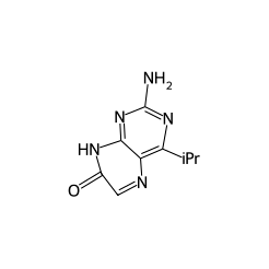 CC(C)c1nc(N)nc2[nH]c(=O)cnc12